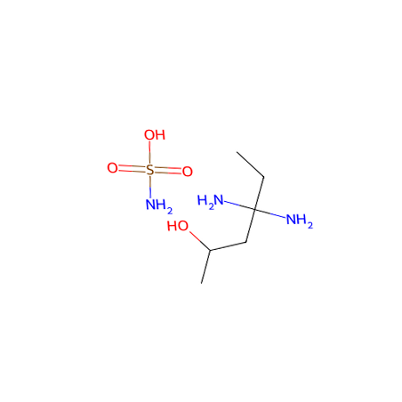 CCC(N)(N)CC(C)O.NS(=O)(=O)O